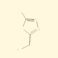 CCCCc1nnc(Br)s1